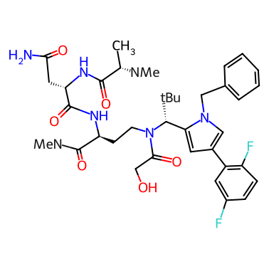 CNC(=O)[C@H](CCN(C(=O)CO)[C@@H](c1cc(-c2cc(F)ccc2F)cn1Cc1ccccc1)C(C)(C)C)NC(=O)[C@H](CC(N)=O)NC(=O)[C@H](C)NC